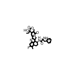 CC[C@@]1(O)C(=O)OCc2c1cc1n(c2=O)Cc2c-1nc1cc(F)c(C)c3c1c2[C@@H](NC(=O)[C@](C)(N)Cc1ccccc1)CC3